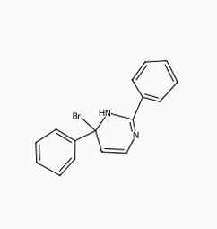 BrC1(c2ccccc2)C=CN=C(c2ccccc2)N1